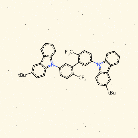 CC(C)(C)c1ccc2c(c1)c1ccccc1n2-c1ccc(C(F)(F)F)c(-c2cc(-n3c4ccccc4c4cc(C(C)(C)C)ccc43)ccc2C(F)(F)F)c1